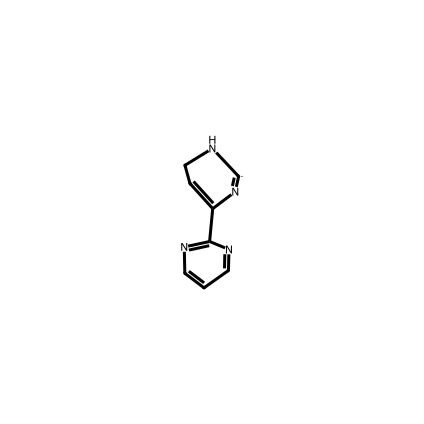 [C]1=NC(c2ncccn2)=CCN1